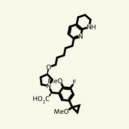 COc1c(F)cc(C2(OC)CC2)cc1[C@@H](C(=O)O)N1CC[C@@H](OCCCCCc2ccc3c(n2)NCCC3)C1